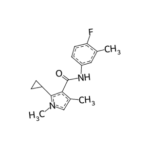 Cc1cc(NC(=O)c2c(C)cn(C)c2C2CC2)ccc1F